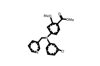 COC(=O)c1ccc(N(Cc2cccnc2)c2cccc(Cl)c2)cc1OC